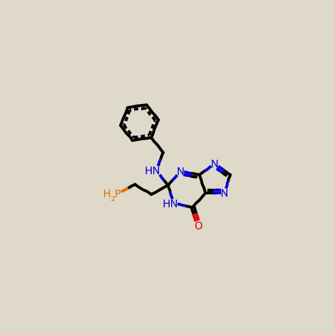 O=C1NC(CCP)(NCc2ccccc2)N=C2N=CN=C12